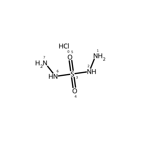 Cl.NNS(=O)(=O)NN